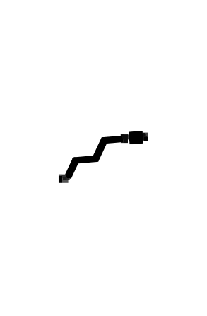 CC(C)CCC[N+]#N